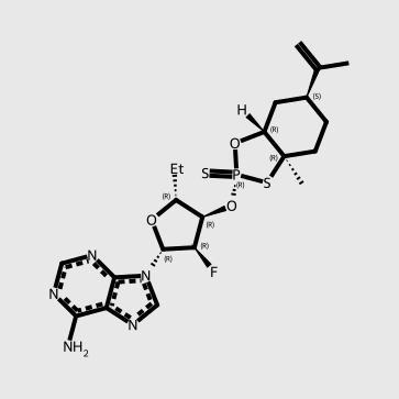 C=C(C)[C@H]1CC[C@@]2(C)S[P@](=S)(O[C@H]3[C@@H](F)[C@H](n4cnc5c(N)ncnc54)O[C@@H]3CC)O[C@@H]2C1